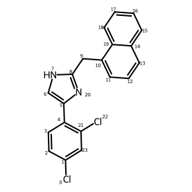 Clc1ccc(-c2c[nH]c(Cc3cccc4ccccc34)n2)c(Cl)c1